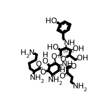 NCC[C@H](O)C(=O)N[C@@H]1C[C@H](N)C(O[C@H]2OC(CN)CCC2N)C(O)[C@H]1O[C@H]1OC(CO)[C@@H](O)[C@H](NCc2cccc(O)c2)C1O